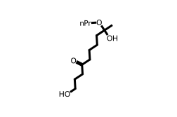 CCCOC(C)(O)CCCCC(=O)CCCO